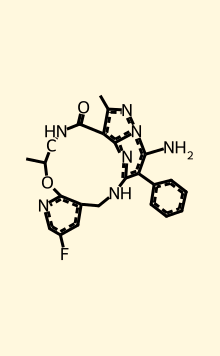 Cc1nn2c(N)c(-c3ccccc3)c3nc2c1C(=O)NCC(C)Oc1ncc(F)cc1CN3